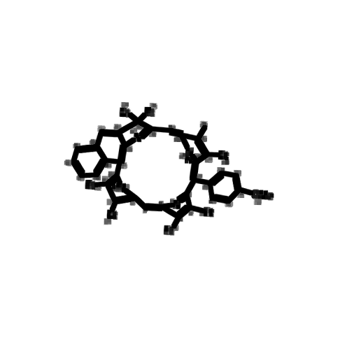 CCC1=C(CC)c2nc1cc1[nH]c(c(CC)c1CC)c1c3nc(cc4[nH]c(c(CC)c4C)c2-c2ccc(OC)cc2)C(CC)(CC)c3cc2ccccc21